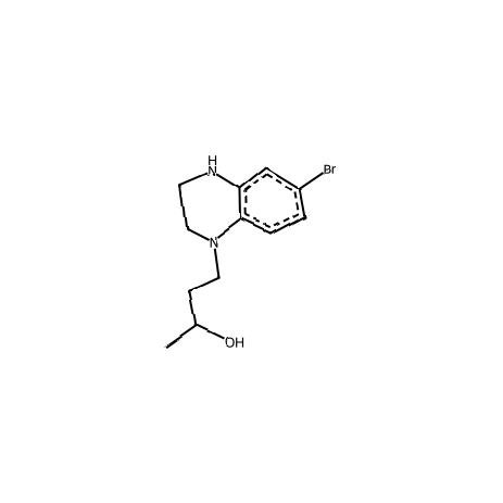 CC(O)CCN1CCNc2cc(Br)ccc21